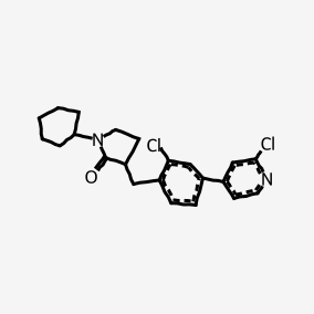 O=C1C(Cc2ccc(-c3ccnc(Cl)c3)cc2Cl)CCN1C1CCCCC1